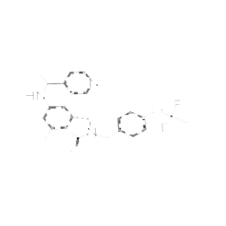 Cc1cc(NC(C)c2ccncc2)cc2c1C(=O)N(Cc1ccc(OC(F)(F)F)cc1)C2